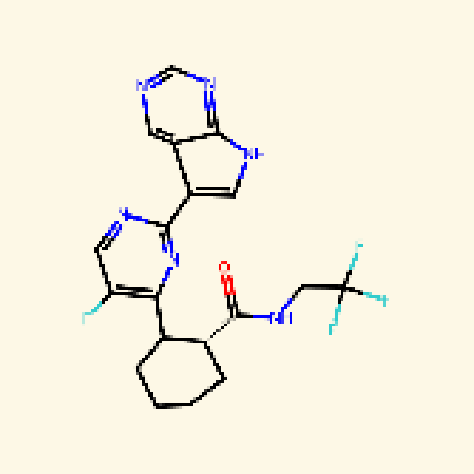 O=C(NCC(F)(F)F)[C@@H]1CCCCC1c1nc(-c2c[nH]c3ncncc23)ncc1F